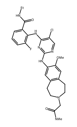 CCNC(=O)c1cccc(F)c1Nc1nc(Nc2cc3c(cc2OC)CCN(CC(=O)NC)CC3)ncc1Cl